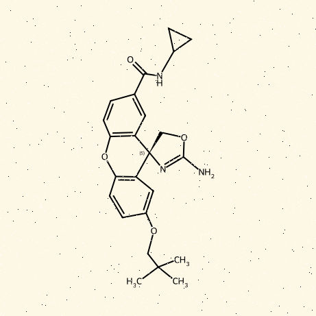 CC(C)(C)COc1ccc2c(c1)[C@]1(COC(N)=N1)c1cc(C(=O)NC3CC3)ccc1O2